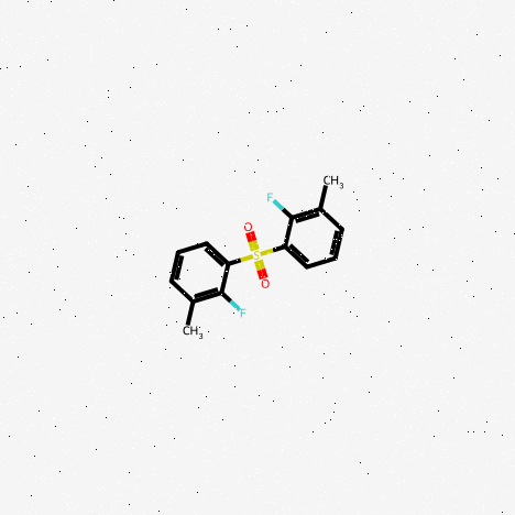 Cc1cccc(S(=O)(=O)c2cccc(C)c2F)c1F